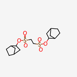 O=S(=O)(CCS(=O)(=O)OC1CC2CCC1C2)OC1CC2CCC1C2